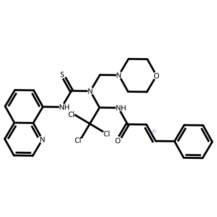 O=C(/C=C/c1ccccc1)NC(N(CN1CCOCC1)C(=S)Nc1cccc2cccnc12)C(Cl)(Cl)Cl